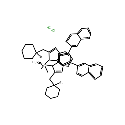 CCC1(CC2=Cc3c(-c4ccc5ccccc5c4)cccc3[CH]2[Zr]([CH3])([CH3])(=[SiH2])[CH]2C(CC3(CC)CCCCC3)=Cc3c(-c4ccc5ccccc5c4)cccc32)CCCCC1.Cl.Cl